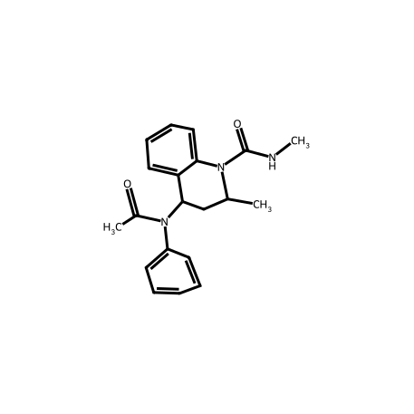 CNC(=O)N1c2ccccc2C(N(C(C)=O)c2ccccc2)CC1C